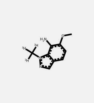 [2H]C([2H])([2H])n1ncc2ccc(OC)c(N)c21